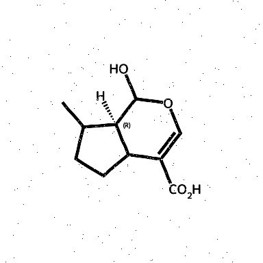 CC1CCC2C(C(=O)O)=COC(O)[C@H]12